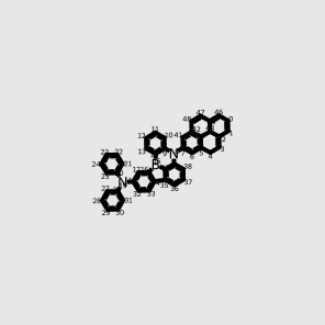 C1=CC2=CCc3cc(N4c5ccccc5B5c6cc(N(c7ccccc7)c7ccccc7)ccc6-c6cccc4c65)cc4c3C2C(=C1)C=C4